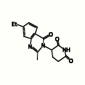 CCc1ccc2c(=O)n(C3CCC(=O)NC3=O)c(C)nc2c1